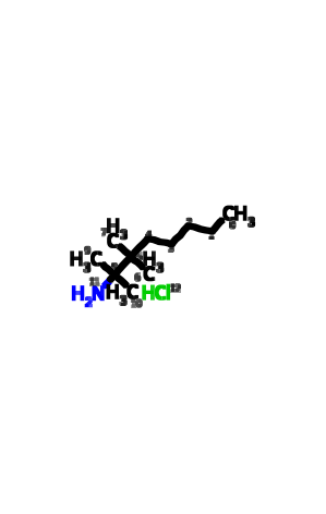 CCCCCC(C)(C)C(C)(C)N.Cl